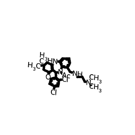 CC(=O)N1c2c(CNCCCN(C)C)cccc2NC2=C(C(=O)CC(C)(C)C2)C1c1ccc(Cl)cc1Cl